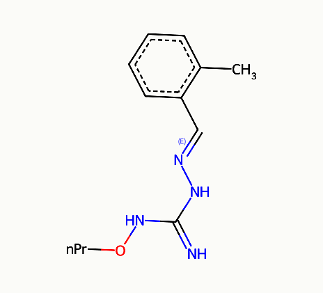 CCCONC(=N)N/N=C/c1ccccc1C